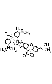 CCN(CC)c1ccc2c(c1)Oc1cc(C)c(Nc3ccc(C4(c5ccc(N(C)C)cc5)OC(=O)c5ccc(N(C)C)cc54)cc3)cc1C21OC(=O)c2ccccc21